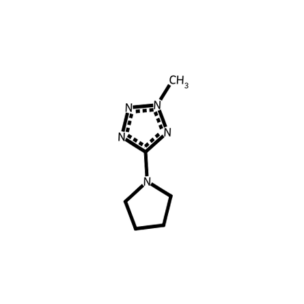 Cn1nnc(N2CCCC2)n1